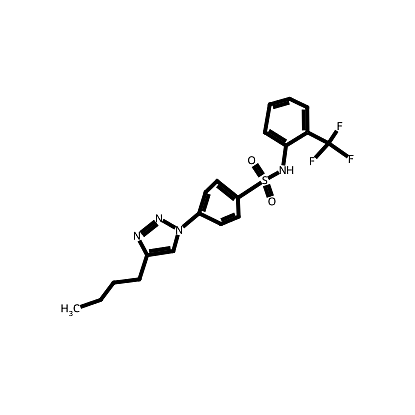 CCCCc1cn(-c2ccc(S(=O)(=O)Nc3ccccc3C(F)(F)F)cc2)nn1